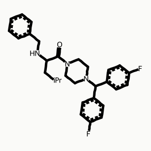 CC(C)CC(NCc1ccccc1)C(=O)N1CCN(C(c2ccc(F)cc2)c2ccc(F)cc2)CC1